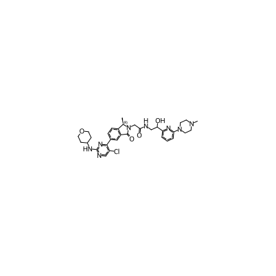 C[C@@H]1c2ccc(-c3nc(NC4CCOCC4)ncc3Cl)cc2C(=O)N1CC(=O)NCC(O)c1cccc(N2CCN(C)CC2)n1